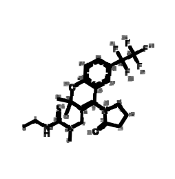 CCNC(=S)N(C)CC1=C(N2CCCC2=O)c2cc(C(F)(F)C(F)(F)F)ccc2OC1(C)C